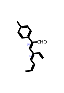 C=CC(/C=C(\C=O)c1ccc(C)cc1)=C\C=C/C